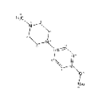 CN1CCN(c2ccc(OC(C)(C)C)cc2)CC1